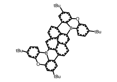 CC(C)(C)c1ccc2c(c1)Oc1cc(C(C)(C)C)cc3c1B2c1cc2ccc4c5c(cc6ccc-3c1c6c25)B1c2ccc(C(C)(C)C)cc2Oc2cc(C(C)(C)C)cc-4c21